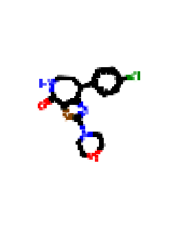 O=C1NCCC(c2ccc(Cl)cc2)c2nc(N3CCOCC3)sc21